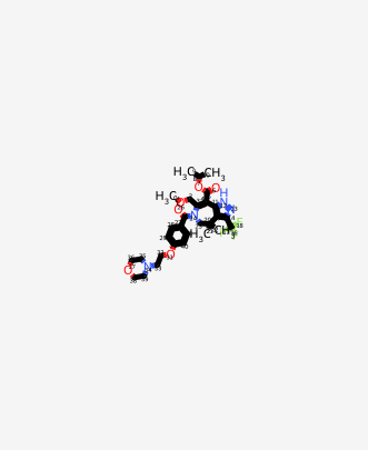 COCC1=C(C(=O)OC(C)C)c2[nH]nc(C(F)(F)F)c2C(C)(C)CN1C(=O)c1ccc(OCCN2CCOCC2)cc1